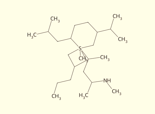 CCCC1CS2(C)(C(C)CC(C)NC)(C1)CC(C(C)C)CCC2CC(C)C